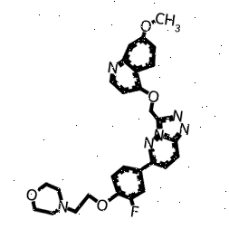 COc1ccc2c(OCc3nnc4ccc(-c5ccc(OCCN6CCOCC6)c(F)c5)nn34)ccnc2c1